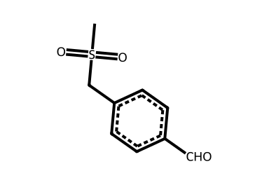 CS(=O)(=O)Cc1ccc(C=O)cc1